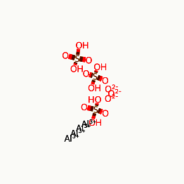 O=S(=O)(O)O.O=S(=O)(O)O.O=S(=O)(O)O.[Al+3].[Al+3].[Al+3].[Al+3].[O-2].[O-2].[O-2]